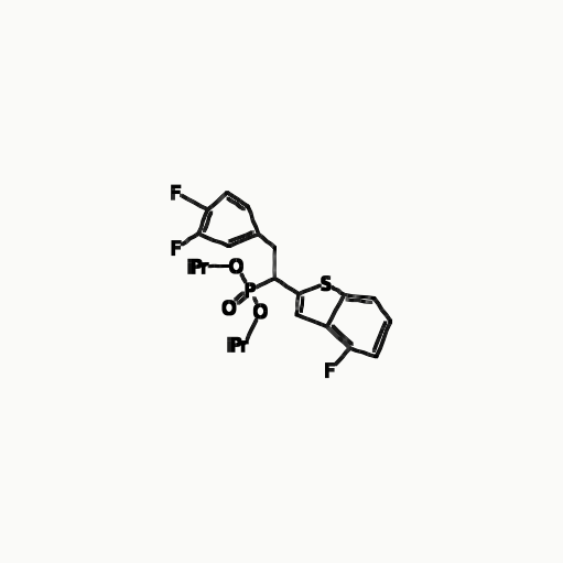 CC(C)OP(=O)(OC(C)C)C(Cc1ccc(F)c(F)c1)c1cc2c(F)cccc2s1